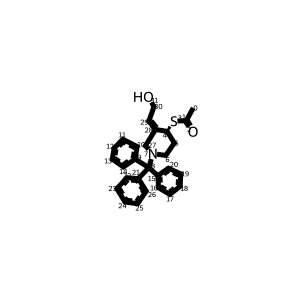 CC(=O)S[C@H]1CCN(C(c2ccccc2)(c2ccccc2)c2ccccc2)C/C1=C/CO